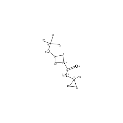 CC1(NC(=O)N2CC(OC(C)(C)C)C2)CC1